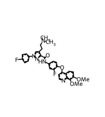 COc1ccc2c(Oc3ccc(NC(=O)c4nn(-c5ccc(F)cc5)cc4CCN(C)C)cc3F)ccnc2c1OC